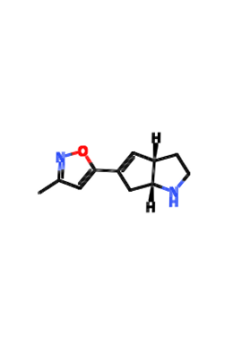 Cc1cc(C2=C[C@@H]3CCN[C@@H]3C2)on1